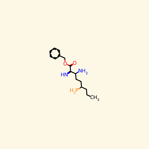 CCCC(P)CCC(N)C(=N)C(=O)OCc1ccccc1